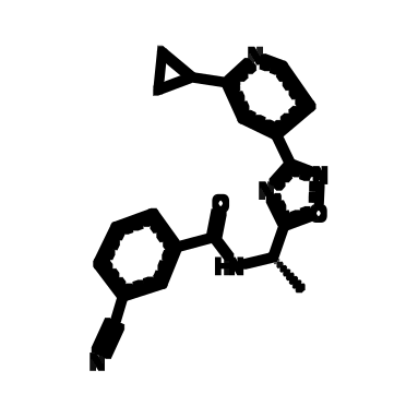 C[C@H](NC(=O)c1cccc(C#N)c1)c1nc(-c2ccnc(C3CC3)c2)no1